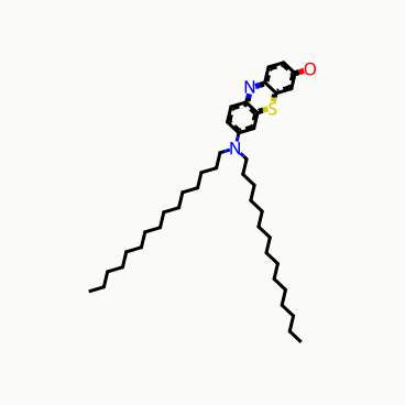 CCCCCCCCCCCCCCCN(CCCCCCCCCCCCCCC)c1ccc2nc3ccc(=O)cc-3sc2c1